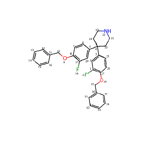 Fc1cc(C2(c3ccc(OCc4ccccc4)c(F)c3)CCNCC2)ccc1OCc1ccccc1